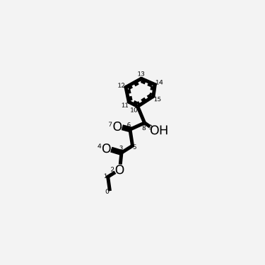 CCOC(=O)CC(=O)C(O)c1ccccc1